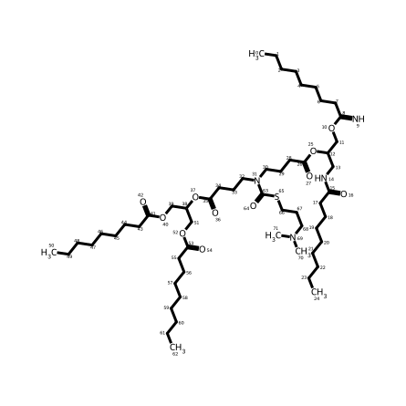 CCCCCCCCC(=N)OCC(CNC(=O)CCCCCCCC)OC(=O)CCCN(CCCC(=O)OC(COC(=O)CCCCCCCC)COC(=O)CCCCCCCC)C(=O)SCCCN(C)C